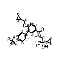 CC(O)(CNC(=O)c1cnc(OCC2CC2)c(-c2ccc(OC(F)(F)F)cc2)c1)C1CC1